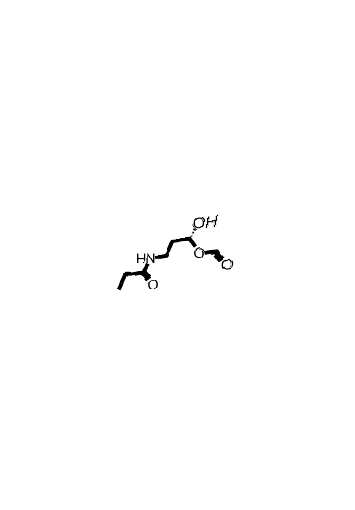 CCC(=O)NCC[C@H](O)OC=O